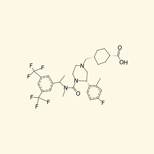 Cc1cc(F)ccc1[C@H]1CN(C[C@H]2CC[C@@H](C(=O)O)CC2)CCN1C(=O)N(C)C(C)c1cc(C(F)(F)F)cc(C(F)(F)F)c1